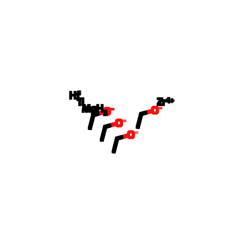 CC[O-].CC[O-].CC[O-].CC[O-].[Hf].[MgH2].[Ti].[Zr+4]